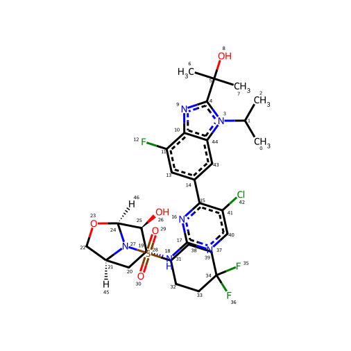 CC(C)n1c(C(C)(C)O)nc2c(F)cc(-c3nc(N[C@@H]4C[C@H]5CO[C@@H]([C@H]4O)N5S(=O)(=O)C4CCC(F)(F)CC4)ncc3Cl)cc21